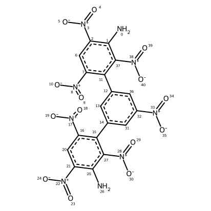 Nc1c([N+](=O)[O-])cc([N+](=O)[O-])c(-c2cc(-c3c([N+](=O)[O-])cc([N+](=O)[O-])c(N)c3[N+](=O)[O-])cc([N+](=O)[O-])c2)c1[N+](=O)[O-]